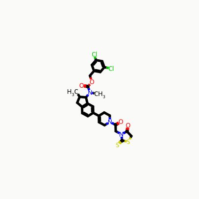 CC1Cc2ccc(C3=CCN(C(=O)CN4C(=O)CSC4=S)CC3)cc2C1N(C)C(=O)OCc1cc(Cl)cc(Cl)c1